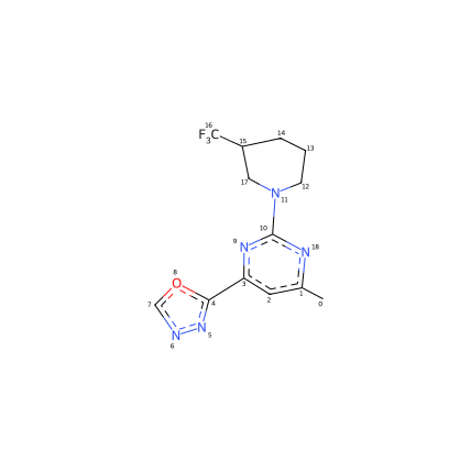 Cc1cc(-c2nnco2)nc(N2CCCC(C(F)(F)F)C2)n1